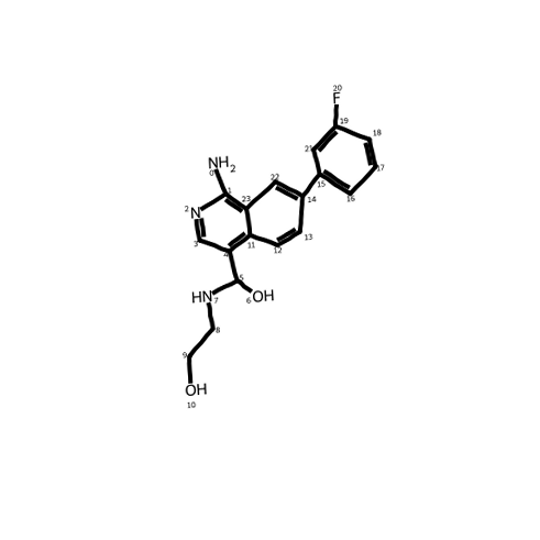 Nc1ncc(C(O)NCCO)c2ccc(-c3cccc(F)c3)cc12